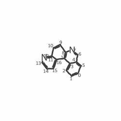 c1ccc2c(c1)cnc1ccc3ncccc3c12